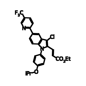 CCOC(=O)C=Cc1c(Cl)c2cc(-c3ccc(C(F)(F)F)cn3)ccc2n1-c1ccc(OC(C)C)cc1